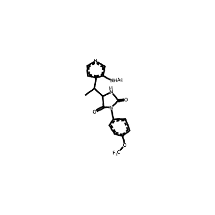 CC(=O)Nc1cnccc1C(C)C1NC(=O)N(c2ccc(OC(F)(F)F)cc2)C1=O